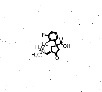 Cc1c(F)cccc1C1(C(=O)O)CC(=O)C(=CN(C)C)C1